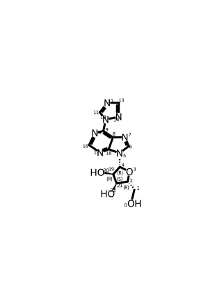 OC[C@H]1O[C@@H](n2cnc3c(-n4cncn4)ncnc32)[C@H](O)[C@@H]1O